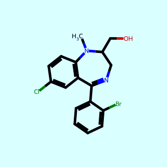 CN1c2ccc(Cl)cc2C(c2ccccc2Br)=NCC1CO